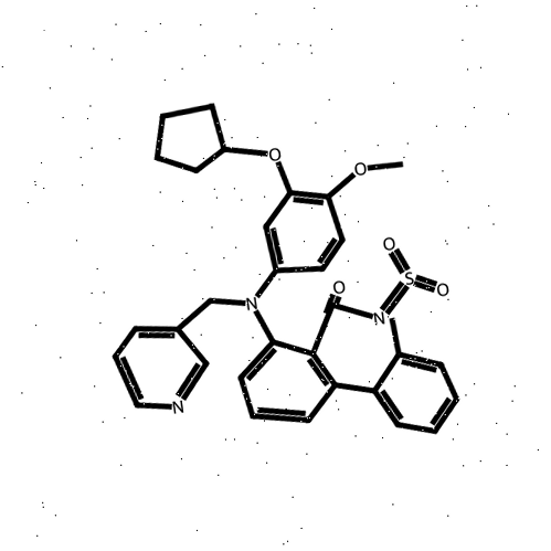 COc1ccc(N(Cc2cccnc2)c2cccc(-c3ccccc3C)c2C(=O)N=S(=O)=O)cc1OC1CCCC1